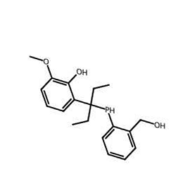 CCC(CC)(Pc1ccccc1CO)c1cccc(OC)c1O